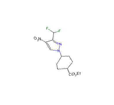 CCOC(=O)C1CCC(n2cc([N+](=O)[O-])c(C(F)F)n2)CC1